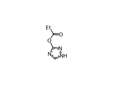 CCC(=O)Oc1nc[nH]n1